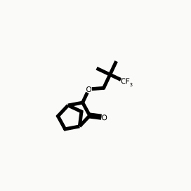 CC(C)(COC1C(=O)C2CCC1C2)C(F)(F)F